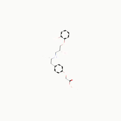 COC(=O)COc1ccc(C[C@@H](C)NC[C@H](O)COc2ccccc2O)cc1